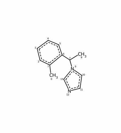 Cc1ccccc1C(C)n1ccnc1